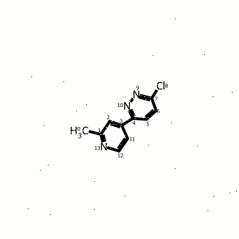 Cc1cc(-c2ccc(Cl)nn2)ccn1